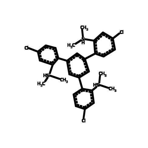 C[SiH](C)c1cc(Cl)ccc1-c1cc(-c2ccc(Cl)cc2[SiH](C)C)cc(-c2ccc(Cl)cc2[SiH](C)C)c1